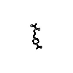 CC(=O)N(Cl)CCCN1CCN(C(C)=O)CC1